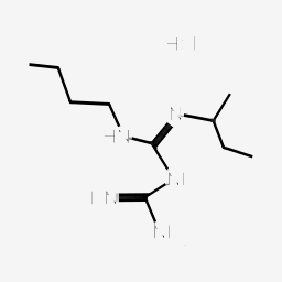 CCCCNC(=NC(C)CC)NC(=N)N.Cl